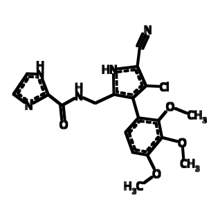 COc1ccc(-c2c(CNC(=O)c3ncc[nH]3)[nH]c(C#N)c2Cl)c(OC)c1OC